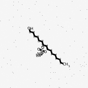 CCCCCCCCCCCCCCCCO.O=S(=O)([O-])[O-].[Na+].[Na+]